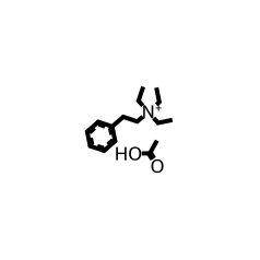 CC(=O)O.CC[N+](CC)(CC)CCc1ccccc1